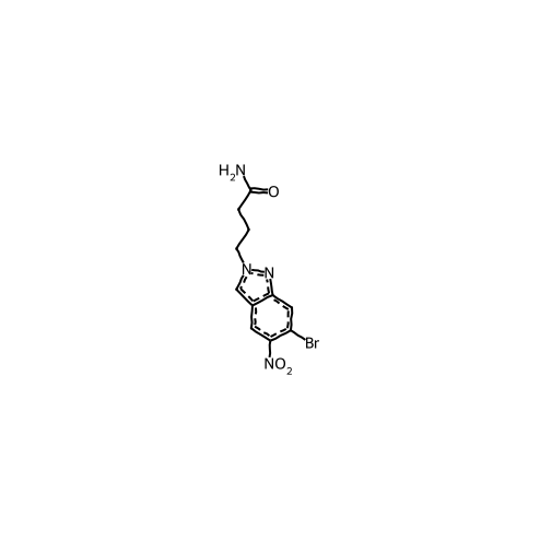 NC(=O)CCCn1cc2cc([N+](=O)[O-])c(Br)cc2n1